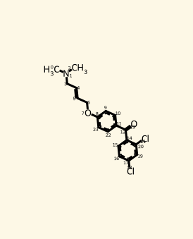 CN(C)C/C=C/COc1ccc(C(=O)c2ccc(Cl)cc2Cl)cc1